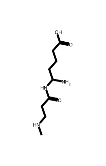 CNCCC(=O)NC(N)CCCC(=O)O